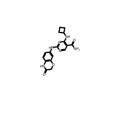 NC(=O)c1cnc(Nc2ccc3c(c2)OCC(=O)N3)nc1NC1CCC1